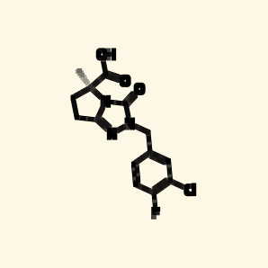 C[C@@]1(C(=O)O)CCc2nn(Cc3ccc(F)c(Cl)c3)c(=O)n21